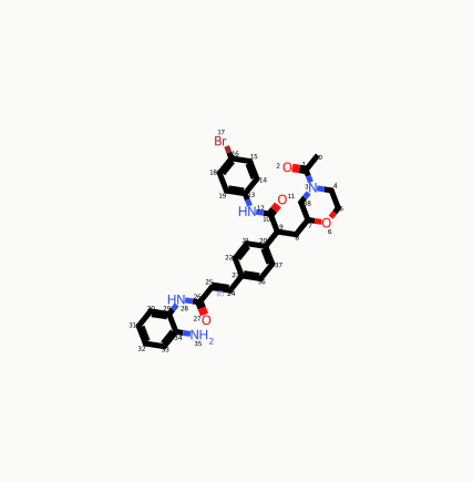 CC(=O)N1CCOC(CC(C(=O)Nc2ccc(Br)cc2)c2ccc(/C=C/C(=O)Nc3ccccc3N)cc2)C1